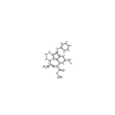 COc1cc(OC(=O)CO)c2c3c(n(Cc4ccccc4)c2c1)CCCC3C(N)=O